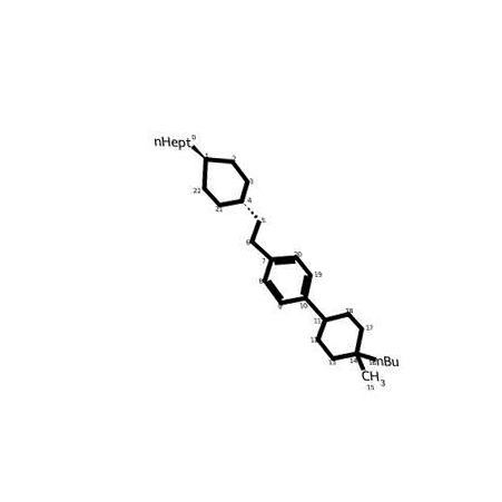 CCCCCCC[C@H]1CC[C@H](CCc2ccc(C3CCC(C)(CCCC)CC3)cc2)CC1